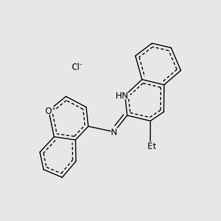 CCc1cc2ccccc2[nH]c1=Nc1cc[o+]c2ccccc12.[Cl-]